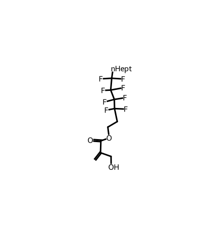 C=C(CO)C(=O)OCCC(F)(F)C(F)(F)C(F)(F)C(F)(F)CCCCCCC